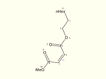 CCCCCCCCOC(=O)/C=C\C(=O)OC